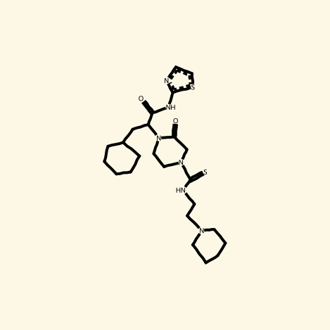 O=C(Nc1nccs1)C(CC1CCCCC1)N1CCN(C(=S)NCCN2CCCCC2)CC1=O